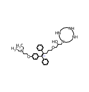 CCN(CC)CCOc1ccc(/C(=C(/CCCOCC(O)CN2CCCNCCNCCCNCC2)c2ccccc2)c2ccccc2)cc1